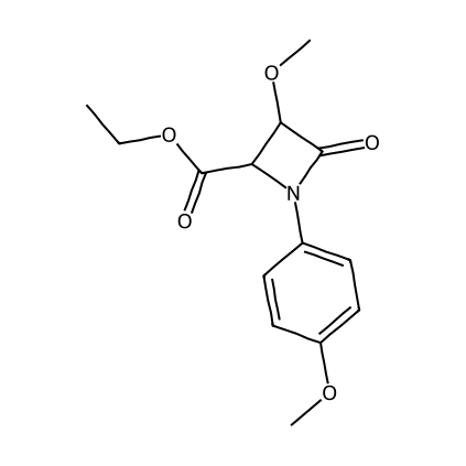 CCOC(=O)C1C(OC)C(=O)N1c1ccc(OC)cc1